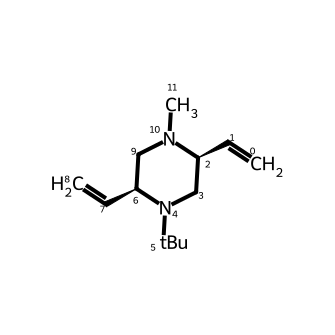 C=C[C@H]1CN(C(C)(C)C)[C@@H](C=C)CN1C